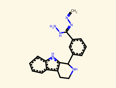 C=N/N=C(\NN)c1cccc(C2NCCc3c2[nH]c2ccccc32)c1